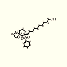 O=S(=O)(c1ccccc1)C1(CCCCCCCCCCO)CCCC2(C1)OCCO2